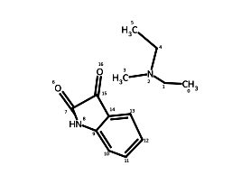 CCN(C)CC.O=C1Nc2ccccc2C1=O